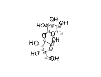 C[C@@H]1O[C@@H](O[C@@H]2[C@@H](O)[C@@H](O)[C@@H](CO)O[C@H]2O)[C@@H](O)[C@H](O)[C@@H]1O